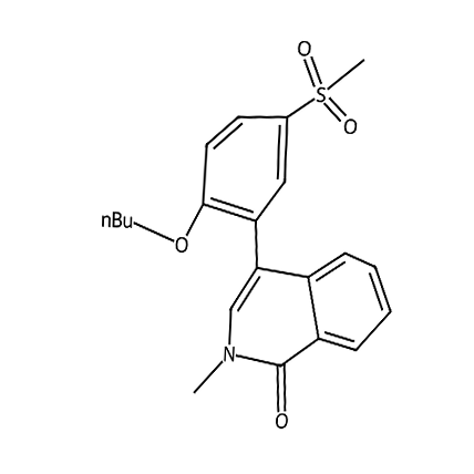 CCCCOc1ccc(S(C)(=O)=O)cc1-c1cn(C)c(=O)c2ccccc12